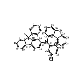 CC1(c2ccccc2)c2ccccc2-c2ccc(N(c3cccc(Cl)c3)c3cccc4oc5ccccc5c34)cc21